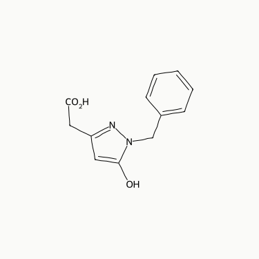 O=C(O)Cc1cc(O)n(Cc2ccccc2)n1